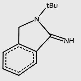 CC(C)(C)N1Cc2ccccc2C1=N